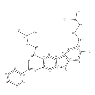 CC(=Cc1cc2sc3cc(C)c(OCCC(C)C)cc3c2cc1OCCC(C)C)c1ccccc1